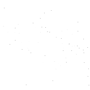 CC(C)(C)OC(=O)CC1CCc2cc3ccc(OCc4ccc(OC5CCCC5)c(C(F)(F)F)c4)cc3n21